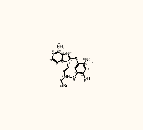 CC(C)(C)CNCCn1c(Sc2cc(O)c(O)cc2[N+](=O)[O-])nc2c(N)nccc21